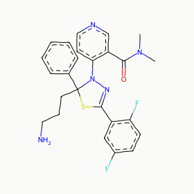 CN(C)C(=O)c1cnccc1N1N=C(c2cc(F)ccc2F)SC1(CCCN)c1ccccc1